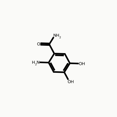 NC(=O)c1cc(O)c(O)cc1N